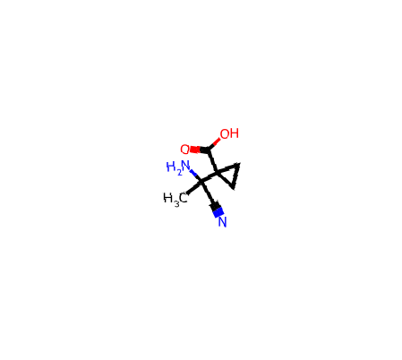 CC(N)(C#N)C1(C(=O)O)CC1